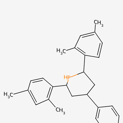 Cc1ccc(C2CC(c3ccccc3)CC(c3ccc(C)cc3C)P2)c(C)c1